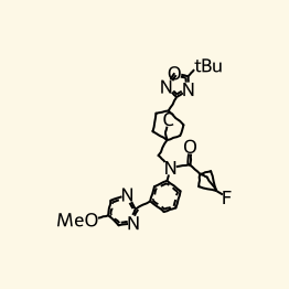 COc1cnc(-c2cccc(N(CC34CCC(c5noc(C(C)(C)C)n5)(CC3)CC4)C(=O)C34CC(F)(C3)C4)c2)nc1